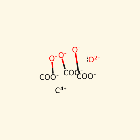 O=C([O-])[O-].O=C([O-])[O-].O=C([O-])[O-].[C+4].[O+2]